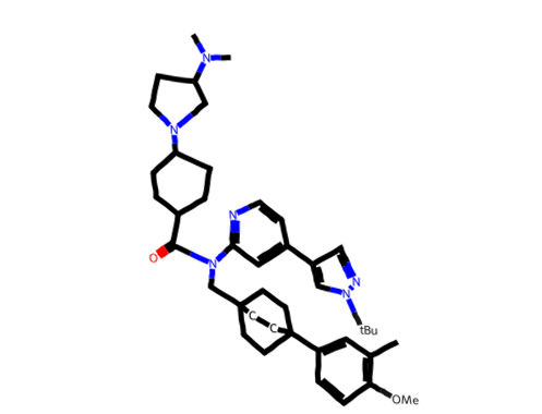 COc1ccc(C23CCC(CN(C(=O)C4CCC(N5CCC(N(C)C)C5)CC4)c4cc(-c5cnn(C(C)(C)C)c5)ccn4)(CC2)CC3)cc1C